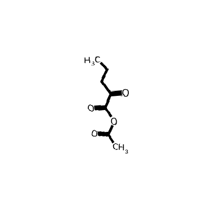 CCCC(=O)C(=O)OC(C)=O